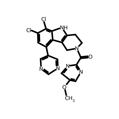 COc1cnc(C(=O)N2CCc3[nH]c4c(Cl)c(Cl)cc(-c5cncnc5)c4c3C2)nc1